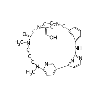 CN1CCCN(C)c2ccc(cn2)-c2ccnc(n2)Nc2cccc(c2)CN2CCN(CC1=O)/C(=C/O)C2